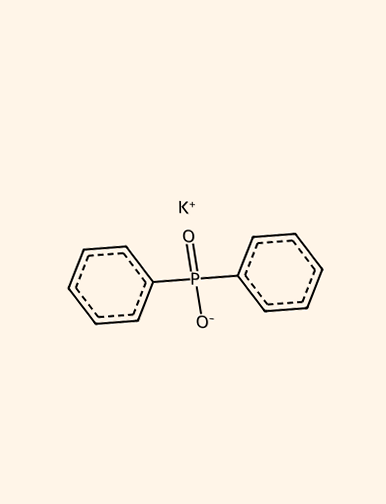 O=P([O-])(c1ccccc1)c1ccccc1.[K+]